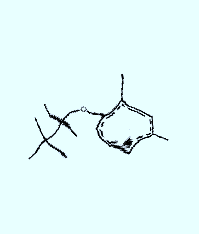 Cc1ccc(OC(C)(C)C(C)(C)C)c(C)c1